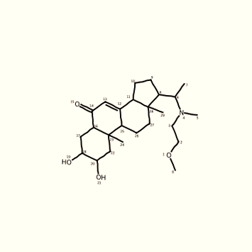 COCCN(C)C(C)C1CCC2C3=CC(=O)C4CC(O)C(O)CC4(C)C3CCC21C